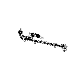 N#Cc1ccc(CN2CCC(NC(=O)c3ncc(C(=O)N4CCN(Cc5ccc(F)cc5)CC4)cc3CCCNC(=O)CCOCCOCCOCCOCCNC(=O)CCCC[C@@H]3SC[C@@H]4NC(=O)N[C@@H]43)CC2)cc1